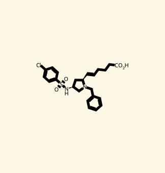 O=C(O)CCCC=C[C@@H]1C[C@@H](NS(=O)(=O)c2ccc(Cl)cc2)CN1Cc1ccccc1